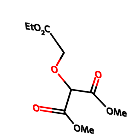 CCOC(=O)COC(C(=O)OC)C(=O)OC